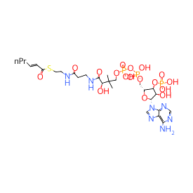 CCCC=CC(=O)SCCNC(=O)CCNC(=O)[C@H](O)C(C)(C)COP(=O)(O)OP(=O)(O)OC[C@H]1O[C@@H](n2cnc3c(N)ncnc32)[C@H](O)[C@@H]1OP(=O)(O)O